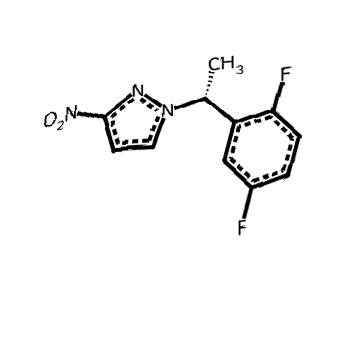 C[C@H](c1cc(F)ccc1F)n1ccc([N+](=O)[O-])n1